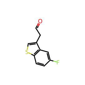 O=CCc1csc2ccc(F)cc12